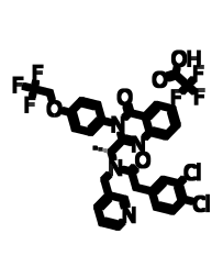 C[C@H](c1nc2ccccc2c(=O)n1-c1ccc(OCC(F)(F)F)cc1)N(Cc1cccnc1)C(=O)Cc1ccc(Cl)c(Cl)c1.O=C(O)C(F)(F)F